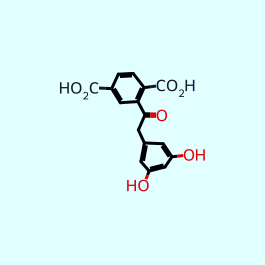 O=C(O)c1ccc(C(=O)O)c(C(=O)Cc2cc(O)cc(O)c2)c1